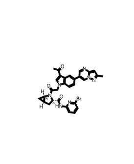 CC(=O)c1cn(CC(=O)N2[C@@H]3C[C@@H]3C[C@H]2C(=O)Nc2cccc(Br)n2)c2ccc(-c3cnc4cc(C)nn4c3)cc12